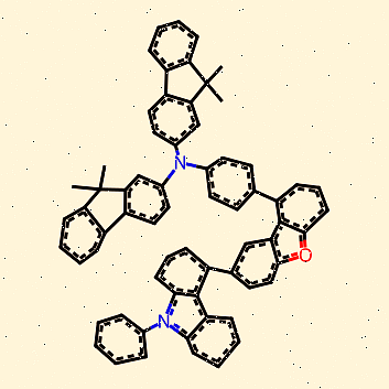 CC1(C)c2ccccc2-c2ccc(N(c3ccc(-c4cccc5oc6ccc(-c7cccc8c7c7ccccc7n8-c7ccccc7)cc6c45)cc3)c3ccc4c(c3)C(C)(C)c3ccccc3-4)cc21